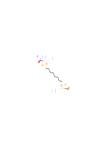 CC(C(=O)O)S(=O)(=O)CCCCCCCCS(=O)(=O)C(C)C(=O)NO